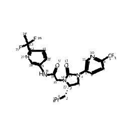 CC(C)C[C@H]1CN(c2ccc(C(F)(F)F)nc2)C(=O)N1CC(=O)Nc1ccc(C(C)(F)F)nc1